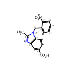 Cc1nc2cc(C(=O)O)ccc2n1Cc1ccccc1[N+](=O)[O-]